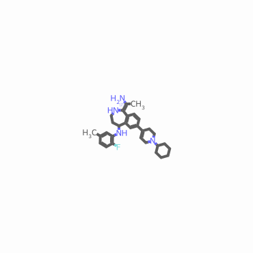 C/C(N)=C1/NCCC(Nc2cc(C)ccc2F)c2cc(C3=CCN(C4CCCCC4)CC3)ccc21